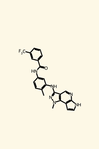 Cc1ccc(NC(=O)c2cccc(C(F)(F)F)c2)cc1Nc1nn(C)c2c1cnc1[nH]ccc12